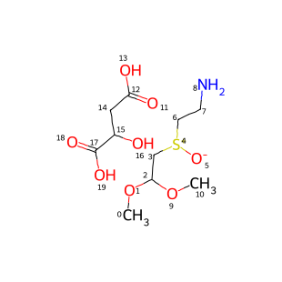 COC(C[S+]([O-])CCN)OC.O=C(O)CC(O)C(=O)O